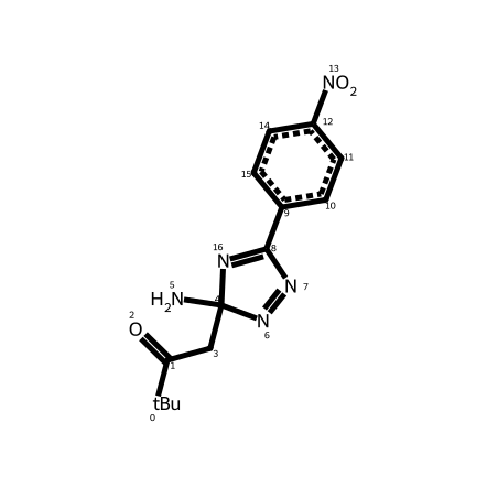 CC(C)(C)C(=O)CC1(N)N=NC(c2ccc([N+](=O)[O-])cc2)=N1